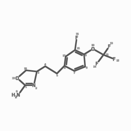 NC1=NC(CCc2ccc(OC(F)(F)F)c(F)c2)CO1